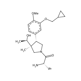 COc1ccc([C@@H]2CN(C(=O)[C@@H](N)C(C)C)C[C@@]2(C)[C@@H](C)O)cc1OCC1CC1